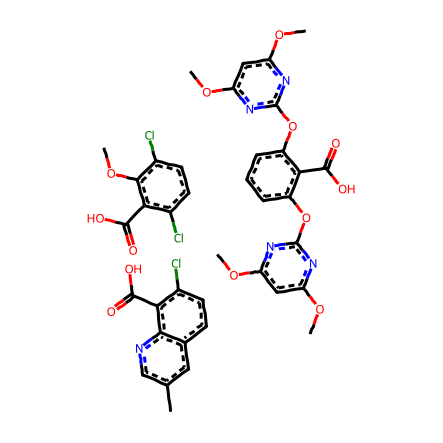 COc1c(Cl)ccc(Cl)c1C(=O)O.COc1cc(OC)nc(Oc2cccc(Oc3nc(OC)cc(OC)n3)c2C(=O)O)n1.Cc1cnc2c(C(=O)O)c(Cl)ccc2c1